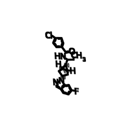 CCC(NC(=O)c1ccc(Cl)cc1)[C@H]1[C@@H]2C[C@@H](n3ncc4ccc(F)cc43)C[C@@H]21